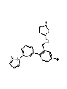 Fc1ccc(-c2cccc(-n3cccn3)c2)c(COC2CCNC2)c1